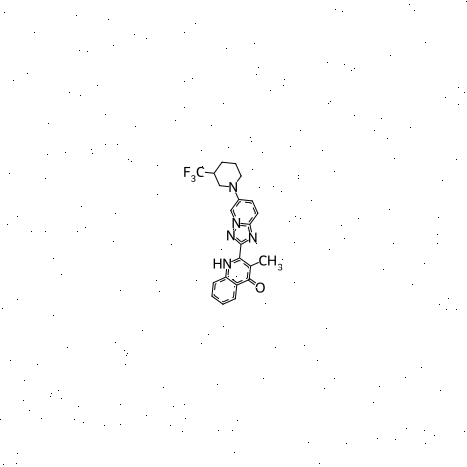 Cc1c(-c2nc3ccc(N4CCCC(C(F)(F)F)C4)cn3n2)[nH]c2ccccc2c1=O